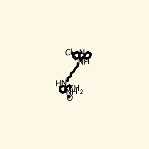 C=CC1=C(NC=O)CCCC1NCCCCCCCCNC1=C2CCCCC2=NC2C=C(Cl)C=CC12